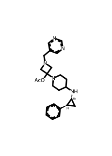 CC(=O)OC1(N2CCC(N[C@@H]3C[C@H]3c3ccccc3)CC2)CN(Cc2cncnc2)C1